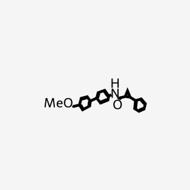 COCc1ccc(-c2ccc(NC(=O)C3CC3c3ccccc3)cc2)cc1